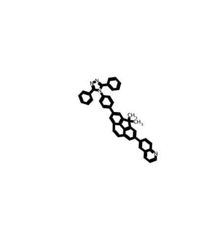 CC1(C)c2cc(-c3ccc(-n4c(-c5ccccc5)nnc4-c4ccccc4)cc3)cc3ccc4cc(-c5ccc6ncccc6c5)cc1c4c23